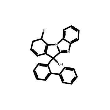 OC1(c2ccccc2-c2ccccc2)C2=C(C(Br)CC=C2)n2c1nc1ccccc12